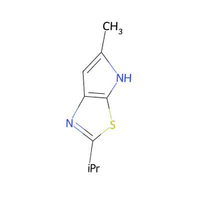 Cc1cc2nc(C(C)C)sc2[nH]1